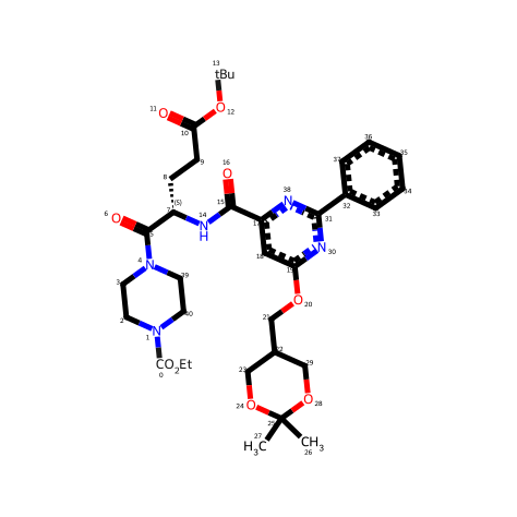 CCOC(=O)N1CCN(C(=O)[C@H](CCC(=O)OC(C)(C)C)NC(=O)c2cc(OCC3COC(C)(C)OC3)nc(-c3ccccc3)n2)CC1